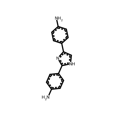 Nc1ccc(-c2c[nH]c(-c3ccc(N)cc3)n2)cc1